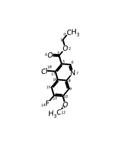 CCOC(=O)c1cnc2cc(OC)c(F)cc2c1Cl